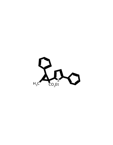 CCOC(=O)C1(c2ccc(-c3ccccc3)s2)C(C)=C1c1ccccc1